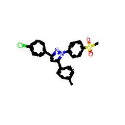 Cc1ccc(-c2cc(-c3ccc(Cl)cc3)nn2-c2ccc(S(C)(=O)=O)cc2)cc1